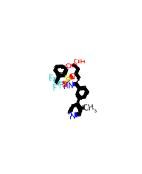 Cc1cnccc1-c1cccc([C@H](CCCC(=O)O)NS(=O)(=O)c2ccccc2C(F)(F)F)c1